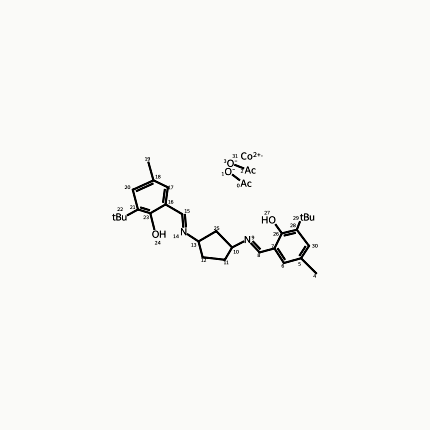 CC(=O)[O-].CC(=O)[O-].Cc1cc(C=NC2CCC(N=Cc3cc(C)cc(C(C)(C)C)c3O)C2)c(O)c(C(C)(C)C)c1.[Co+2]